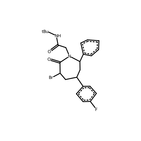 CC(C)(C)NC(=O)CN1C(=O)C(Br)CC(c2ccc(F)cc2)CC1c1ccccc1